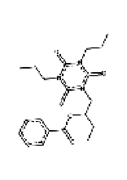 CCCn1c(=O)n(CCC)c(=O)n(CC(CC)OC(=O)c2ccccc2)c1=O